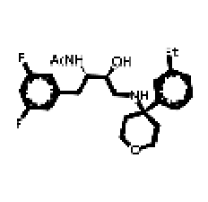 CCc1cccc(C2(NC[C@H](O)[C@H](Cc3cc(F)cc(F)c3)NC(C)=O)CCOCC2)c1